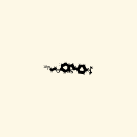 CN(C)c1ccc(-c2cc3ccc(OCC[18F])cc3s2)cc1